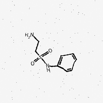 NCCS(=O)(=O)Nc1ccccc1